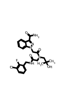 CC(C)(O)CN(CC(=O)NCc1cccc(Cl)c1F)C(=O)Cn1nc(C(N)=O)c2ccccc21